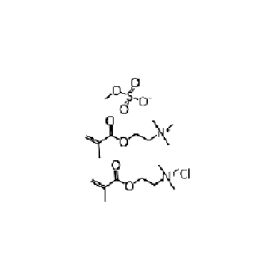 C=C(C)C(=O)OCC[N+](C)(C)C.C=C(C)C(=O)OCC[N+](C)(C)C.COS(=O)(=O)[O-].[Cl-]